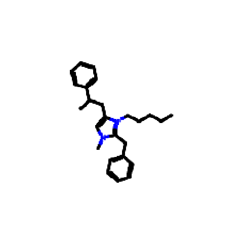 CCCCC[n+]1c(CC(C)c2ccccc2)cn(C)c1Cc1ccccc1